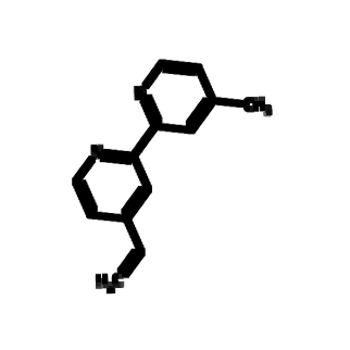 C=Cc1ccnc(-c2cc(C)ccn2)c1